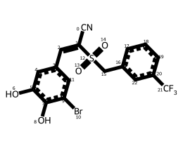 N#CC(=Cc1cc(O)c(O)c(Br)c1)S(=O)(=O)Cc1cccc(C(F)(F)F)c1